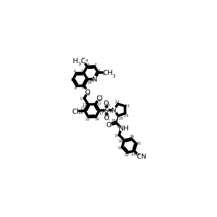 Cc1cc(C)c2cccc(OCc3c(Cl)ccc(S(=O)(=O)N4CCC[C@H]4C(=O)NCc4ccc(C#N)cc4)c3Cl)c2n1